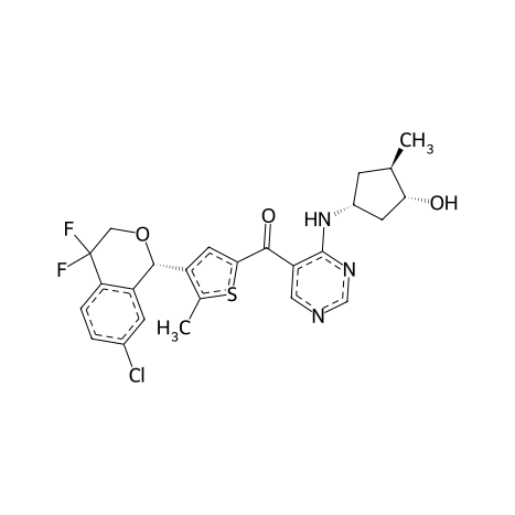 Cc1sc(C(=O)c2cncnc2N[C@@H]2C[C@@H](C)[C@H](O)C2)cc1[C@H]1OCC(F)(F)c2ccc(Cl)cc21